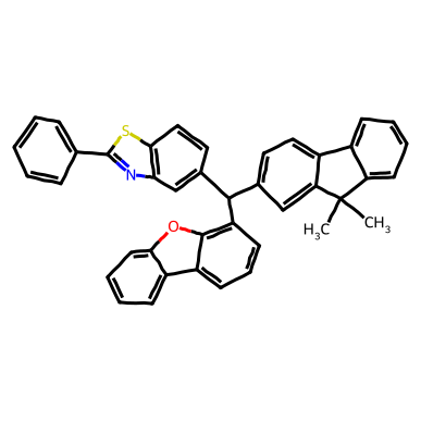 CC1(C)c2ccccc2-c2ccc(C(c3ccc4sc(-c5ccccc5)nc4c3)c3cccc4c3oc3ccccc34)cc21